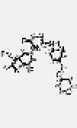 Cc1nc2c(F)cc(-c3nc(Nc4ccc(COC5CCOCC5)cn4)ncc3F)cc2n1C(C)C